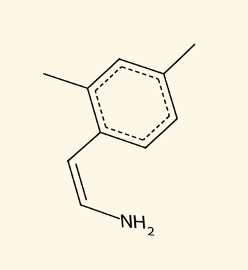 Cc1ccc(/C=C\N)c(C)c1